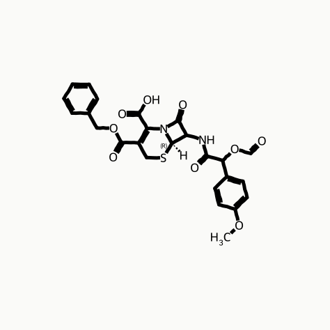 COc1ccc(C(OC=O)C(=O)NC2C(=O)N3C(C(=O)O)=C(C(=O)OCc4ccccc4)CS[C@H]23)cc1